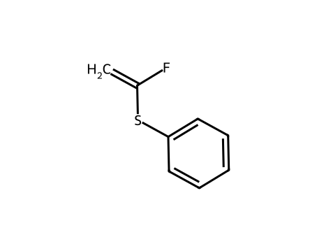 C=C(F)Sc1ccccc1